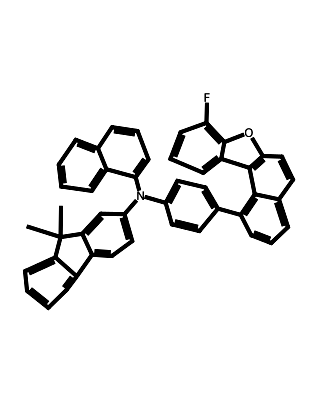 CC1(C)c2ccccc2-c2ccc(N(c3ccc(-c4cccc5ccc6oc7c(F)cccc7c6c45)cc3)c3cccc4ccccc34)cc21